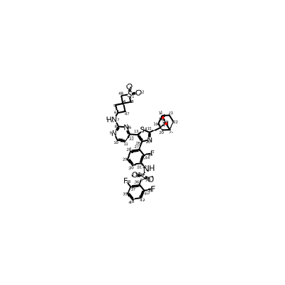 O=S1(=O)CC2(CC(Nc3nccc(-c4sc(N5CC6CCC(CC6)C5)nc4-c4cccc(NS(=O)(=O)c5c(F)cccc5F)c4F)n3)C2)C1